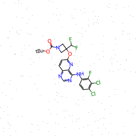 CC(C)(C)OC(=O)N1CC(Oc2ccc3ncnc(Nc4ccc(Cl)c(Cl)c4F)c3n2)(C(F)F)C1